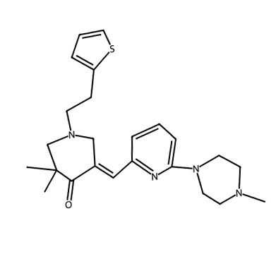 CN1CCN(c2cccc(/C=C3\CN(CCc4cccs4)CC(C)(C)C3=O)n2)CC1